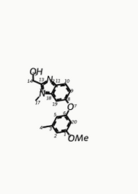 COc1cc(C)cc(Oc2ccc3nc(CO)n(C)c3c2)c1